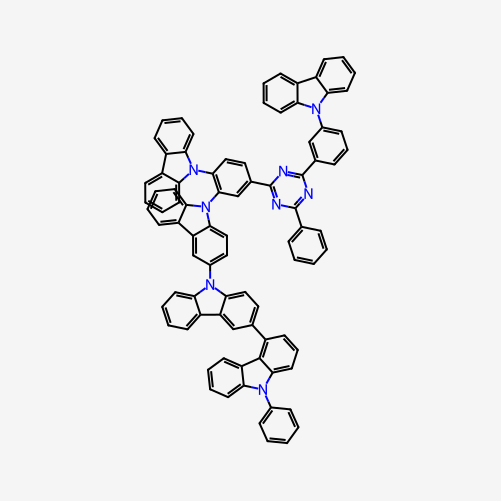 c1ccc(-c2nc(-c3cccc(-n4c5ccccc5c5ccccc54)c3)nc(-c3ccc(-n4c5ccccc5c5ccccc54)c(-n4c5ccccc5c5cc(-n6c7ccccc7c7cc(-c8cccc9c8c8ccccc8n9-c8ccccc8)ccc76)ccc54)c3)n2)cc1